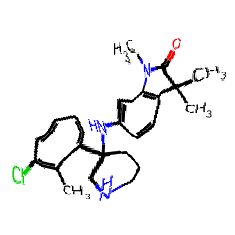 Cc1c(Cl)cccc1C1(Nc2ccc3c(c2)N(C)C(=O)C3(C)C)CCCNC1